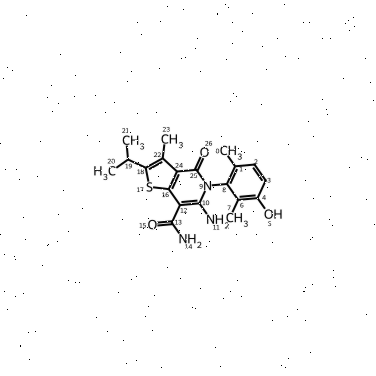 Cc1ccc(O)c(C)c1-n1c(N)c(C(N)=O)c2sc(C(C)C)c(C)c2c1=O